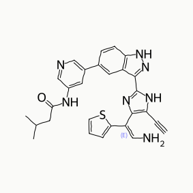 C#Cc1[nH]c(-c2n[nH]c3ccc(-c4cncc(NC(=O)CC(C)C)c4)cc23)nc1/C(=C\N)c1cccs1